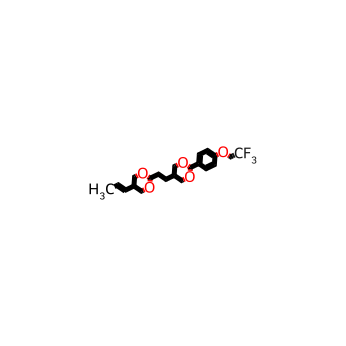 CC=CC1COC(CCC2COC(c3ccc(OCC(F)(F)F)cc3)OC2)OC1